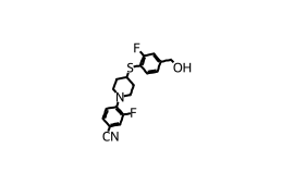 N#Cc1ccc(N2CCC(Sc3ccc(CO)cc3F)CC2)c(F)c1